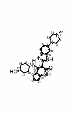 CN1CCN(c2ccc3nc(-c4c(N[C@H]5CC[C@H](O)CC5)c5sccc5[nH]c4=O)[nH]c3c2)CC1